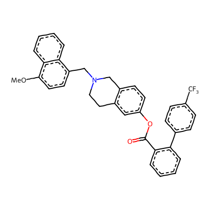 COc1ccc(CN2CCc3cc(OC(=O)c4ccccc4-c4ccc(C(F)(F)F)cc4)ccc3C2)c2ccccc12